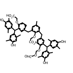 Cc1cc(Cc2ccc(OCOC=O)c(C(c3cc(C)c(O)cc3C)c3cc(C)c(O)cc3C)c2)c(OCC(=O)O)c(Cc2ccc(OCC(=O)O)c(C(c3cc(C)c(O)cc3C)c3cc(C)c(O)cc3C)c2)c1